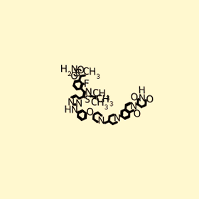 CCC(c1cccc(-c2nc(C(C)(C)C)sc2-c2ccnc(Nc3cccc(OC4CCN(CC5CCN(c6ccc7c(=O)n(C8CCC(=O)NC8=O)ccc7c6)CC5)CC4)c3)n2)c1F)S(N)(=O)=O